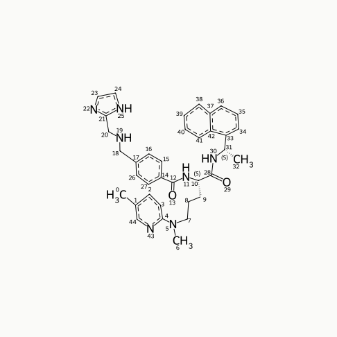 Cc1ccc(N(C)CCC[C@H](NC(=O)c2ccc(CNCc3ncc[nH]3)cc2)C(=O)N[C@@H](C)c2cccc3ccccc23)nc1